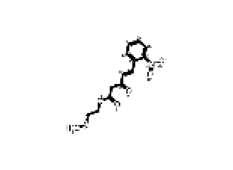 COCCOC(=O)CC(=O)C=Cc1ccccc1[N+](=O)[O-]